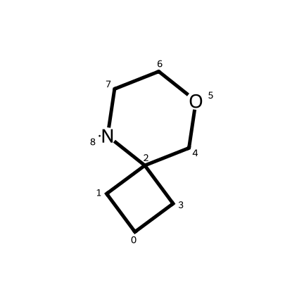 C1CC2(C1)COCC[N]2